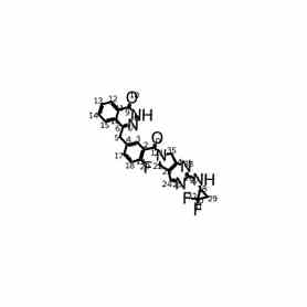 O=C(c1cc(Cc2n[nH]c(=O)c3ccccc23)ccc1F)N1Cc2cnc(NC3CC3(F)F)nc2C1